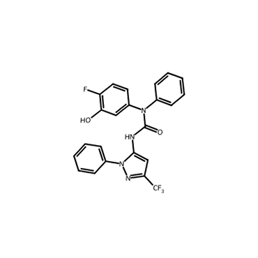 O=C(Nc1cc(C(F)(F)F)nn1-c1ccccc1)N(c1ccccc1)c1ccc(F)c(O)c1